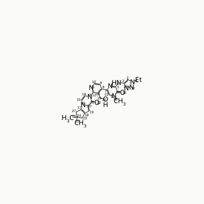 CCn1cc(Nc2nc(-c3ccnc(-n4ccn5c6c(cc5c4=O)CC(C)(C)C6)c3CO)cn(C)c2=O)nn1